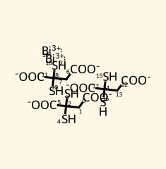 O=C([O-])CC(S)(S)C(=O)[O-].O=C([O-])CC(S)(S)C(=O)[O-].O=C([O-])CC(S)(S)C(=O)[O-].[Bi+3].[Bi+3]